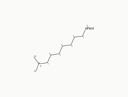 CCCCCCCCCCCCP(C)C